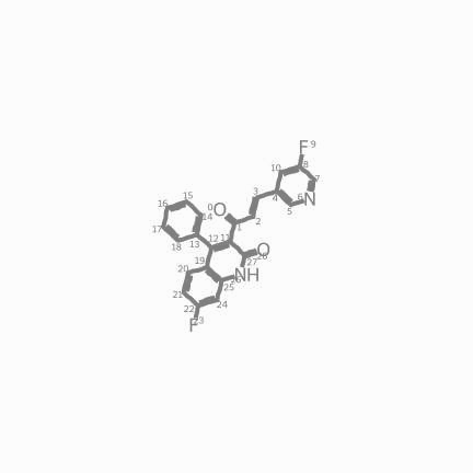 O=C(/C=C/c1cncc(F)c1)c1c(-c2ccccc2)c2ccc(F)cc2[nH]c1=O